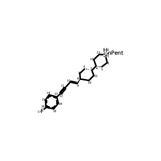 CCCCC[Si@H]1CC[C@H]([C@H]2CC[C@H](C=CC#Cc3ccc(F)cc3)CC2)CC1